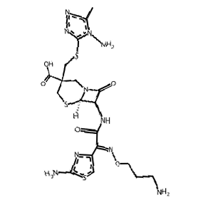 Cc1nnc(SCC2(C(=O)O)CS[C@@H]3C(NC(=O)C(=NOCCCN)c4csc(N)n4)C(=O)N3C2)n1N